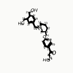 O=C(/C=N/O)c1ccc(OCC2CCCN(Cc3ccc(CO)c(CO)c3)C2)nc1